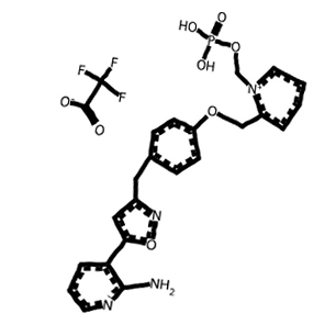 Nc1ncccc1-c1cc(Cc2ccc(OCc3cccc[n+]3COP(=O)(O)O)cc2)no1.O=C([O-])C(F)(F)F